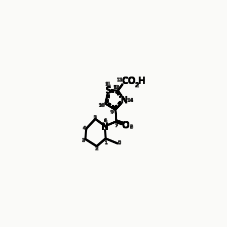 CC1CCCCN1C(=O)c1csc(C(=O)O)n1